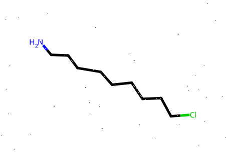 NCCCCCCCCCCl